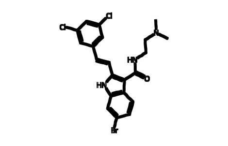 CN(C)CCNC(=O)c1c(C=Cc2cc(Cl)cc(Cl)c2)[nH]c2cc(Br)ccc12